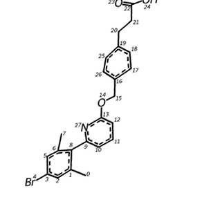 Cc1cc(Br)cc(C)c1-c1cccc(OCc2ccc(CCC(=O)O)cc2)n1